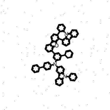 C1=CCC(c2cc(-c3cccc4c3oc3c5c(ccc34)-c3ccccc3-n3c4ccccc4c4cccc-5c43)cc(N(c3ccc(-c4ccccc4)cc3)c3ccc4c(c3)c3ccccc3n4-c3ccccc3)c2)C=C1